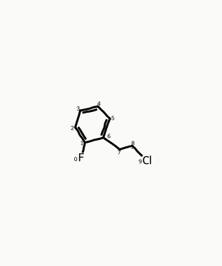 Fc1ccccc1C[CH]Cl